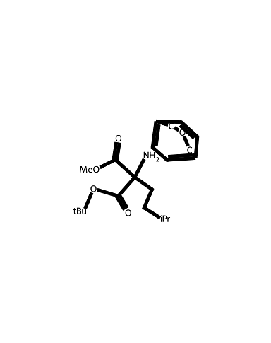 COC(=O)C(N)(CCC(C)C)C(=O)OC(C)(C)C.c1cc2ccc1COC2